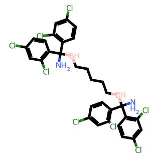 NC(BCCCCCBC(N)(c1ccc(Cl)cc1Cl)c1ccc(Cl)cc1Cl)(c1ccc(Cl)cc1Cl)c1ccc(Cl)cc1Cl